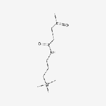 CC(=O)CCC(=O)NCCC[Si](C)(C)C